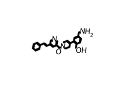 NCc1ccc(CO)c(C2=CCN(C(=O)c3cncc(C=Cc4ccccc4)c3)CC2)c1